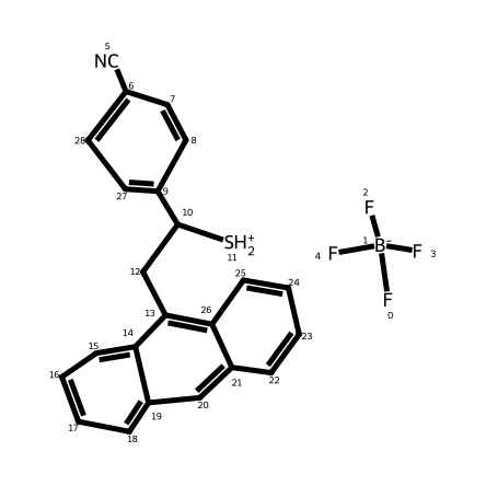 F[B-](F)(F)F.N#Cc1ccc(C([SH2+])Cc2c3ccccc3cc3ccccc23)cc1